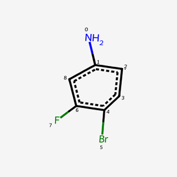 Nc1[c]cc(Br)c(F)c1